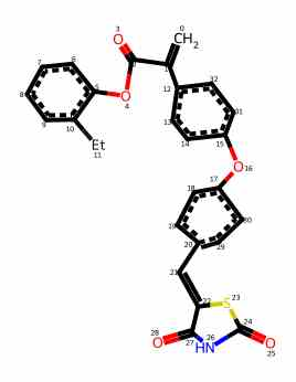 C=C(C(=O)Oc1ccccc1CC)c1ccc(Oc2ccc(/C=C3\SC(=O)NC3=O)cc2)cc1